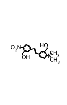 CN(C)c1ccc(C=Cc2ccc([N+](=O)[O-])c(CO)c2)cc1CO